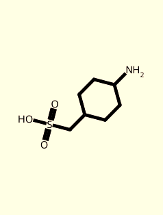 NC1CCC(CS(=O)(=O)O)CC1